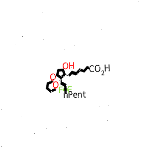 CCCCCC(F)(F)C=C[C@@H]1[C@@H](CC=CCCCC(=O)O)[C@@H](O)C[C@H]1OC1CCCCO1